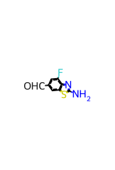 Nc1nc2c(F)cc(C=O)cc2s1